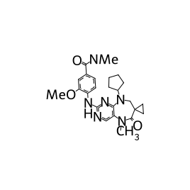 CNC(=O)c1ccc(Nc2ncc3c(n2)N(C2CCCC2)CC2(CC2)C(=O)N3C)c(OC)c1